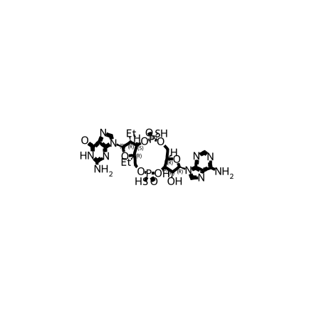 CC[C@H]1[C@H](n2cnc3c(=O)[nH]c(N)nc32)O[C@]2(CC)COP(=O)(S)O[C@H]3[C@@H](O)[C@H](n4cnc5c(N)ncnc54)O[C@@H]3CO[P@@](=O)(S)O[C@@H]12